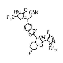 COCC(c1ccc2oc(C(NC(=O)c3c(F)cnn3C)C3CCC(F)CC3)nc2c1)N1CC(C(F)(F)F)NC1=O